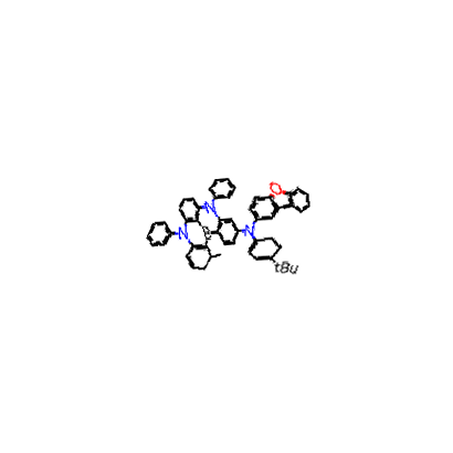 CC1CC=CC2=C1B1c3ccc(N(C4=CC=C(C(C)(C)C)CC4)c4ccc5oc6ccccc6c5c4)cc3N(c3ccccc3)c3cccc(c31)N2c1ccccc1